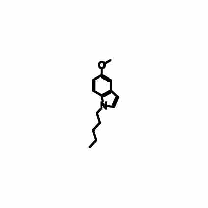 CCCCCn1ccc2cc(OC)ccc21